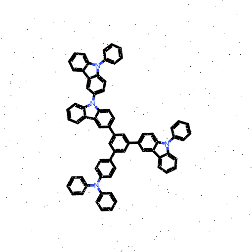 c1ccc(N(c2ccccc2)c2ccc(-c3cc(-c4ccc5c(c4)c4ccccc4n5-c4ccccc4)cc(-c4ccc5c(c4)c4ccccc4n5-c4ccc5c(c4)c4ccccc4n5-c4ccccc4)c3)cc2)cc1